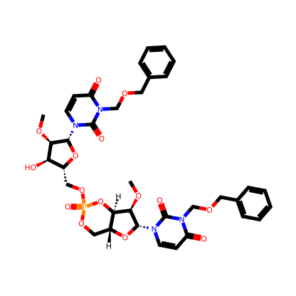 CO[C@@H]1[C@H](O)[C@@H](COP2(=O)OC[C@H]3O[C@@H](n4ccc(=O)n(COCc5ccccc5)c4=O)[C@H](OC)[C@@H]3O2)O[C@H]1n1ccc(=O)n(COCc2ccccc2)c1=O